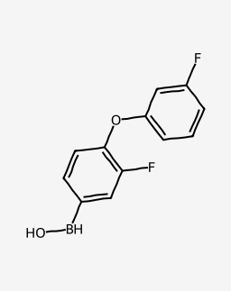 OBc1ccc(Oc2cccc(F)c2)c(F)c1